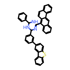 NC(NC(/N=C/c1c2ccccc2cc2c1ccc1ccccc12)c1cccc(-c2ccc3sc4ccccc4c3c2)c1)c1ccccc1